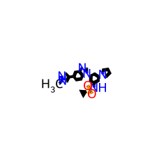 Cn1cc(-c2ccc3c(c2)ncn3-c2cc(NS(=O)(=O)C3CC3)cc(-n3cccc3)c2)cn1